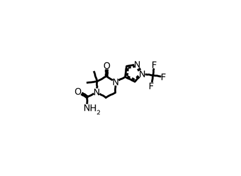 CC1(C)C(=O)N(c2cnn(C(F)(F)F)c2)CCN1C(N)=O